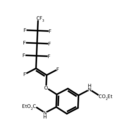 CCOC(=O)Nc1ccc(NC(=O)OCC)c(OC(F)=C(F)C(F)(F)C(F)(F)C(F)(F)C(F)(F)F)c1